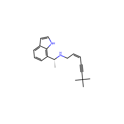 C[C@@H](NC/C=C\C#CC(C)(C)C)c1cccc2cc[nH]c12